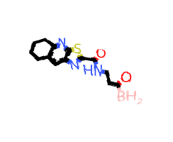 BC(=O)CCNC(=O)c1nc2cc3c(nc2s1)CCCC3